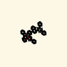 c1ccc(-c2nc(-c3ccccc3)nc(-c3cc(-c4ccc(-c5nc(-c6ccccc6)nc(-c6ccccc6)n5)c5ccccc45)ccc3-n3c4ccccc4c4ccccc43)n2)cc1